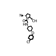 C#CC1CC[C@@H](C#N)N1C(=O)CN[C@H]1CC[C@H](Oc2ccc(Cl)cc2)CC1